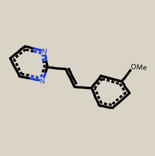 COc1cccc(C=Cc2ncccn2)c1